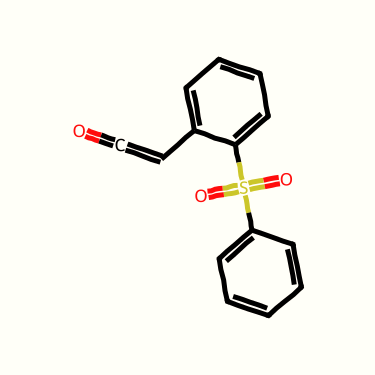 O=C=Cc1ccccc1S(=O)(=O)c1ccccc1